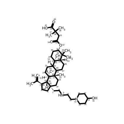 C=C(C)[C@@H]1CC[C@]2(CCNCCN3CCC(O)CC3)CC[C@]3(C)[C@H](CC[C@@H]4[C@@]5(C)CC[C@H](OC(=O)CC(C)(C)C(=O)O)C(C)(C)[C@@H]5CC[C@]43C)[C@@H]12